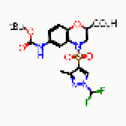 Cc1nn(C(F)F)cc1S(=O)(=O)N1CC(C(=O)O)Oc2ccc(NC(=O)OC(C)(C)C)cc21